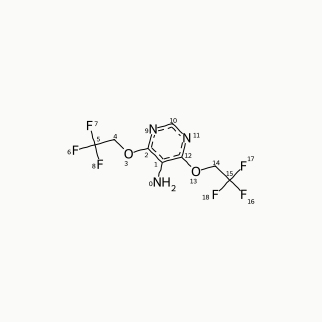 Nc1c(OCC(F)(F)F)ncnc1OCC(F)(F)F